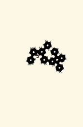 c1ccc(-c2cc(-c3cccc(-c4ccc5c(-c6ccccc6)c6ccccc6c(-c6ccccc6)c5c4)c3)c3sc4c(-c5ccccc5)cccc4c3c2)cc1